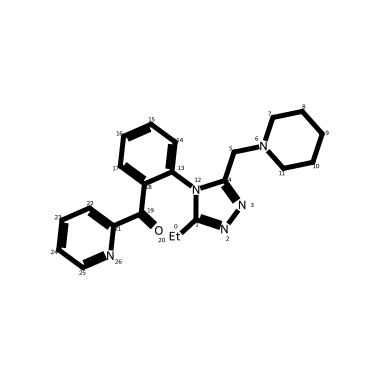 CCc1nnc(CN2CCCCC2)n1-c1ccccc1C(=O)c1ccccn1